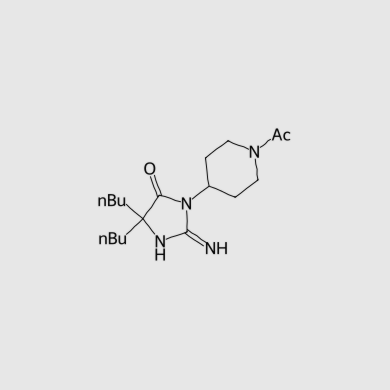 CCCCC1(CCCC)NC(=N)N(C2CCN(C(C)=O)CC2)C1=O